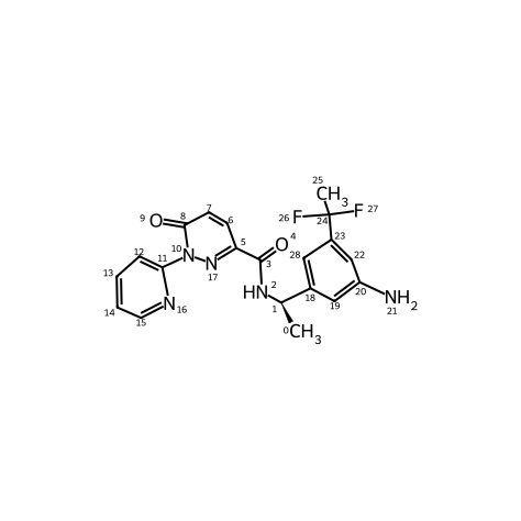 C[C@@H](NC(=O)c1ccc(=O)n(-c2ccccn2)n1)c1cc(N)cc(C(C)(F)F)c1